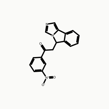 O=C(CC1c2ccccc2-c2cncn21)c1cccc([N+](=O)[O-])c1